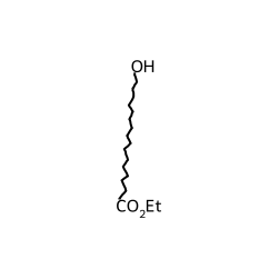 CCOC(=O)CCCCCCCCCCCCCCCCCO